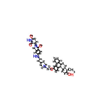 CC1C(O)=CC=C2C1CC[C@H](c1ccccc1)[C@@H]2c1ccc(OCCN2CCC(CCNc3ccc4c(c3)CN(C3CCC(=O)NC3=O)C4=O)CC2)cc1